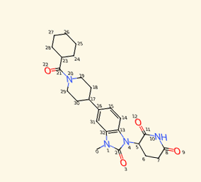 Cn1c(=O)n(C2CCC(=O)NC2=O)c2ccc(C3CCN(C(=O)C4CCCCC4)CC3)cc21